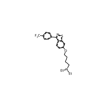 CCN(CC)CCCCOc1ccc2c(-c3ccc(C(F)(F)F)cc3)nsc2c1